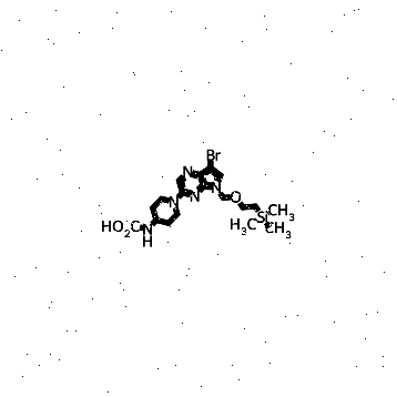 C[Si](C)(C)CCOCn1cc(Br)c2ncc(N3CCC(NC(=O)O)CC3)nc21